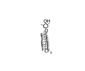 Cc1cc(OCC(F)(F)C(F)(F)C(F)(F)C(F)(F)C(F)(F)C(F)(F)C(F)(F)C(F)(F)F)cc(C)c1O